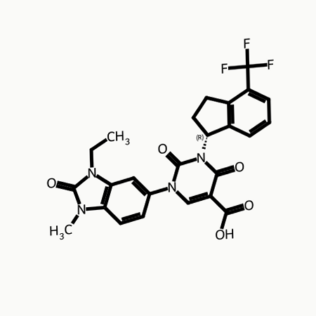 CCn1c(=O)n(C)c2ccc(-n3cc(C(=O)O)c(=O)n([C@@H]4CCc5c4cccc5C(F)(F)F)c3=O)cc21